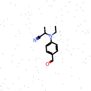 CCN(c1ccc(C=O)cc1)C(C)C#N